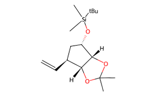 C=C[C@H]1C[C@H](O[Si](C)(C)C(C)(C)C)[C@@H]2OC(C)(C)O[C@@H]21